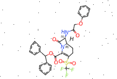 O=C(COc1ccccc1)N[C@@H]1C(=O)N2C(C(=O)OC(c3ccccc3)c3ccccc3)=C(S(=O)(=O)C(F)(F)F)CC[C@H]12